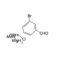 CCCCCCCl.CNC.O=Cc1cccc(Br)c1.[MgH2]